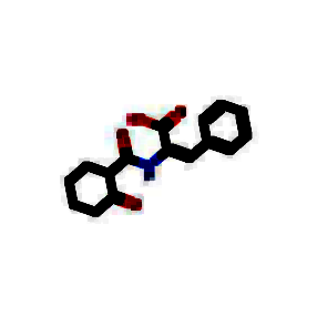 O=C(O)/C(=C\c1ccccc1)NC(=O)C1CCCCC1=O